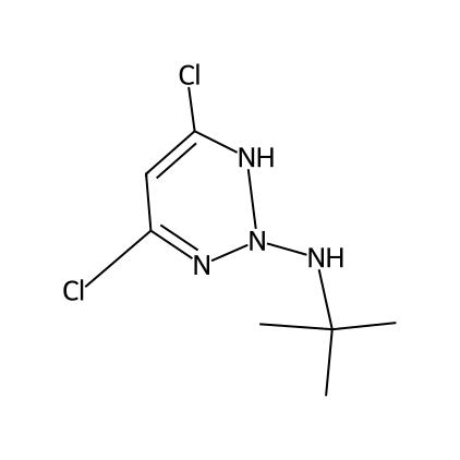 CC(C)(C)NN1N=C(Cl)C=C(Cl)N1